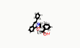 C(=Cc1ccccc1-c1ncco1)c1ccccc1.CCC(O)c1ccccc1